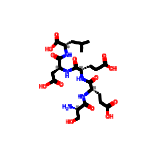 CC(C)C[C@H](NC(=O)[C@H](CC(=O)O)NC(=O)[C@H](CCC(=O)O)NC(=O)[C@H](CCC(=O)O)NC(=O)[C@@H](N)CO)C(=O)O